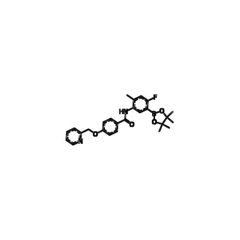 Cc1cc(F)c(B2OC(C)(C)C(C)(C)O2)cc1NC(=O)c1ccc(OCc2ccccn2)cc1